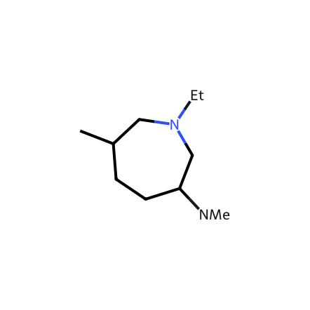 CCN1CC(C)CCC(NC)C1